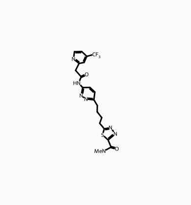 CNC(=O)c1nnc(CCCCc2ccc(NC(=O)Cc3cc(C(F)(F)F)ccn3)nn2)s1